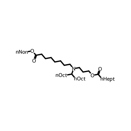 CCCCCCCCCOC(=O)CCCCCCCN(CCCOC(=O)CCCCCCC)C(CCCCCCCC)CCCCCCCC